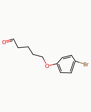 O=CCCCCOc1ccc(Br)cc1